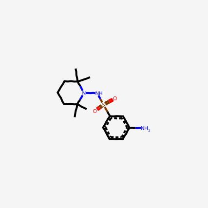 CC1(C)CCCC(C)(C)N1NS(=O)(=O)c1cccc(N)c1